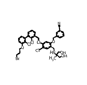 CC(CO)(CO)NCc1cc(Cl)c(OCc2cccc(-c3cccc(OCCCBr)c3Cl)c2Cl)cc1OCc1cccc(C#N)c1